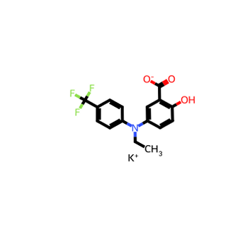 CCN(c1ccc(C(F)(F)F)cc1)c1ccc(O)c(C(=O)[O-])c1.[K+]